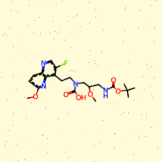 COc1ccc2ncc(F)c(CCN(CC(CNC(=O)OC(C)(C)C)OC)C(=O)O)c2n1